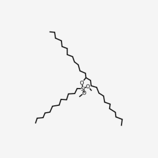 CCCCCCCCCCCCC(CCCCCCCCCCCC)O[Si](CCCCCCCCCCCC)(OC)OC